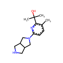 Cc1ccc(N2CC3CNCC3C2)nc1C(C)(C)O